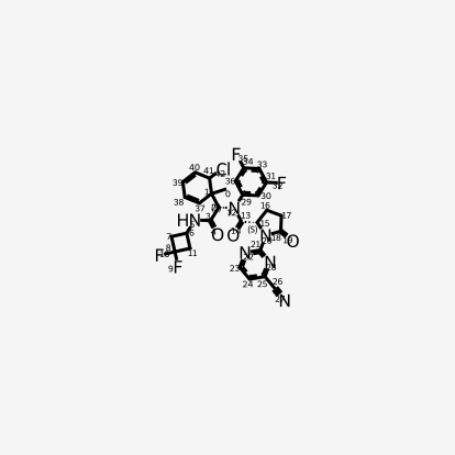 CC1([C@@H](C(=O)NC2CC(F)(F)C2)N(C(=O)[C@@H]2CCC(=O)N2c2nccc(C#N)n2)c2cc(F)cc(F)c2)C=CC=CC1Cl